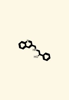 O[C@@H](CNCc1cnc2ccccc2c1)c1ccccc1